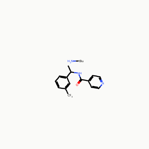 CC(C)(C)N.CC(NC(=O)c1ccncc1)c1cccc(C(F)(F)F)c1